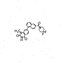 Cn1c(=O)[nH]c(=O)c2ccc(-c3cccc4cc(C(=O)N5CCC(F)(F)CC5)ccc34)cc21